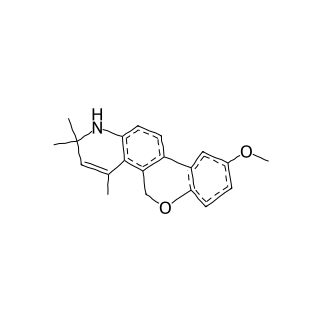 COc1ccc2c(c1)-c1ccc3c(c1CO2)C(C)=CC(C)(C)N3